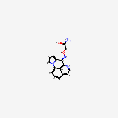 NC(=O)CO/N=c1/c2nccc3cccc(c32)n2cccc12